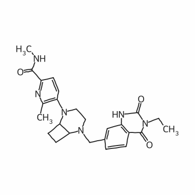 CCn1c(=O)[nH]c2cc(CN3CCN(c4ccc(C(=O)NC)nc4C)C4CCC43)ccc2c1=O